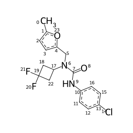 Cc1ccc(CN(C(=O)Nc2ccc(Cl)cc2)C2CC(F)(F)C2)o1